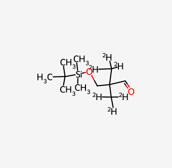 [2H]C([2H])([2H])C(C=O)(CO[Si](C)(C)C(C)(C)C)C([2H])([2H])[2H]